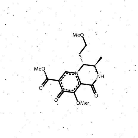 COCC[C@@H]1[C@@H](C)NC(=O)c2c(OC)c(=O)c(C(=O)OC)cn21